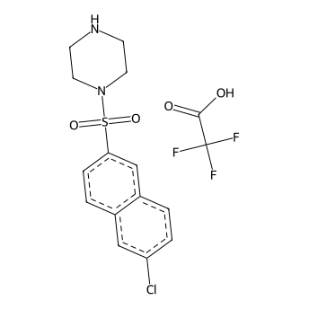 O=C(O)C(F)(F)F.O=S(=O)(c1ccc2cc(Cl)ccc2c1)N1CCNCC1